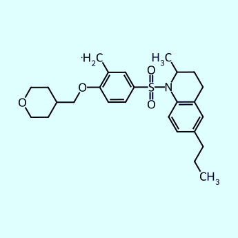 [CH2]c1cc(S(=O)(=O)N2c3ccc(CCC)cc3CCC2C)ccc1OCC1CCOCC1